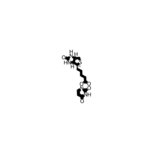 O=C1N[C@H]2[C@H](CS[C@H]2CCCCC(=O)On2ccc(=O)[nH]c2=O)N1